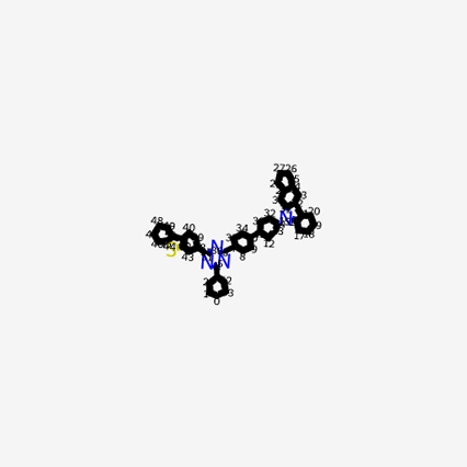 c1ccc(-c2nc(-c3ccc(-c4ccc(-n5c6ccccc6c6cc7ccccc7cc65)cc4)cc3)nc(-c3ccc4c(c3)sc3ccccc34)n2)cc1